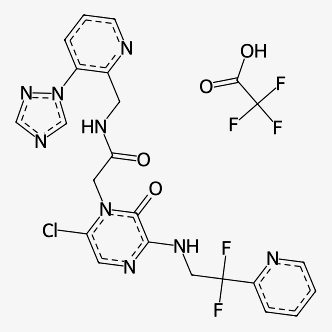 O=C(Cn1c(Cl)cnc(NCC(F)(F)c2ccccn2)c1=O)NCc1ncccc1-n1cncn1.O=C(O)C(F)(F)F